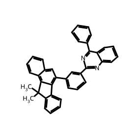 CC1(C)c2ccccc2-c2c(-c3cccc(-c4nc(-c5ccccc5)c5ccccc5n4)c3)cc3ccccc3c21